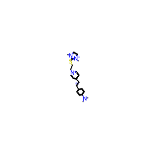 CN(C)c1ccc(/C=C/c2cc[n+](CCSc3n(C)cc[n+]3C)cc2)cc1